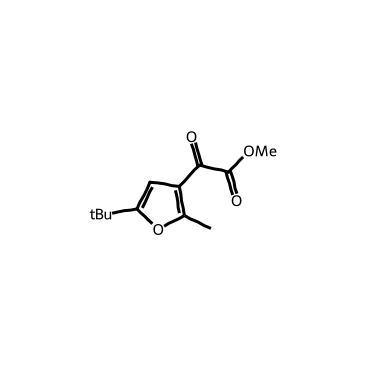 COC(=O)C(=O)c1cc(C(C)(C)C)oc1C